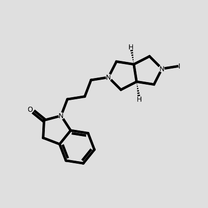 O=C1Cc2ccccc2N1CCCN1C[C@H]2CN(I)C[C@H]2C1